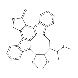 COC1C(C(C)SC)Cn2c3ccccc3c3c4c(c5c6ccccc6n(c5c32)C1OC)CNC4=O